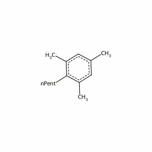 [CH2]CCCCc1c(C)cc(C)cc1C